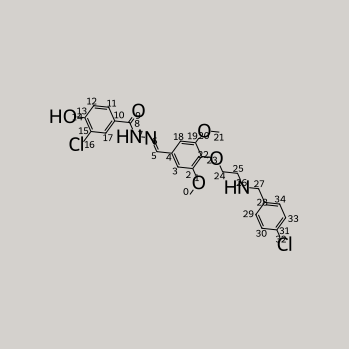 COc1cc(/C=N/NC(=O)c2ccc(O)c(Cl)c2)cc(OC)c1OCCNCc1ccc(Cl)cc1